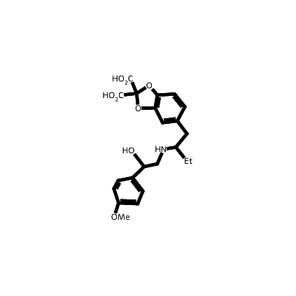 CCC(Cc1ccc2c(c1)OC(C(=O)O)(C(=O)O)O2)NCC(O)c1ccc(OC)cc1